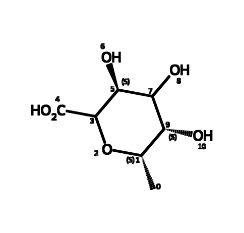 C[C@@H]1OC(C(=O)O)[C@@H](O)C(O)[C@@H]1O